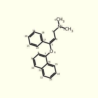 CN(C)CC=C(Oc1cccc2ccccc12)c1ccccc1